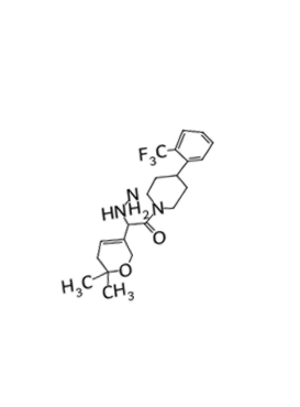 CC1(C)CC=C(C(NN)C(=O)N2CCC(c3ccccc3C(F)(F)F)CC2)CO1